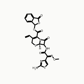 C=CC1=C(C(=O)OC2OC(=O)c3ccccc32)N2C(=O)C(NC(=O)C(=NOC)c3csc(N)n3)[C@@H]2SC1